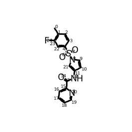 Cc1ccc(S(=O)(=O)n2ccc(NC(=O)c3ccccn3)c2)cc1F